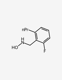 CCCc1cccc(F)c1CNO